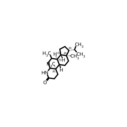 CC1CC2NC(=O)CC[C@]2(C)[C@H]2CC[C@]3(C)[C@@H](C(C)C)CC[C@H]3[C@H]12